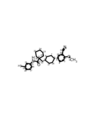 COc1ccc([C@H]2CC[C@H](CC3(C(=O)Nc4cccc(I)c4)CCCCC3)CC2)cc1C#N